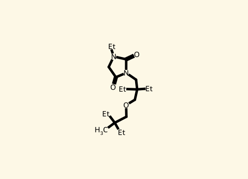 CCN1CC(=O)N(CC(CC)(CC)COCC(C)(CC)CC)C1=O